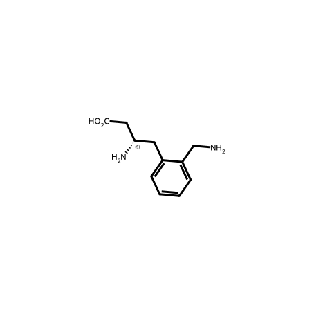 NCc1ccccc1C[C@H](N)CC(=O)O